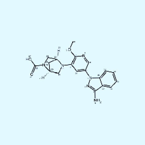 COc1ncc(-n2nc(N)c3ccccc32)cc1N1C[C@@H]2C[C@H]1CN2C(=O)O